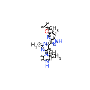 Cc1nc(-c2n[nH]c3ccc(OC4(C)CC4)nc23)cc(N2CCNCC2(C)C)n1